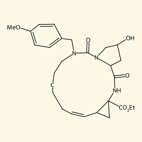 CCOC(=O)C12CC1C=CCCCCCN(Cc1ccc(OC)cc1)C(=O)N1CC(O)CC1C(=O)N2